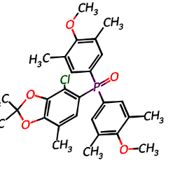 COc1c(C)cc(P(=O)(c2cc(C)c(OC)c(C)c2)c2cc(C)c3c(c2Cl)OC(C)(C)O3)cc1C